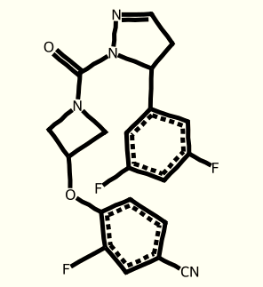 N#Cc1ccc(OC2CN(C(=O)N3N=CCC3c3cc(F)cc(F)c3)C2)c(F)c1